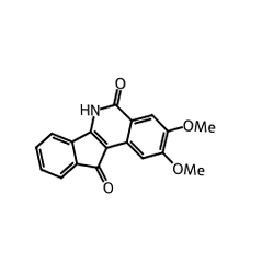 COc1cc2c3c([nH]c(=O)c2cc1OC)-c1ccccc1C3=O